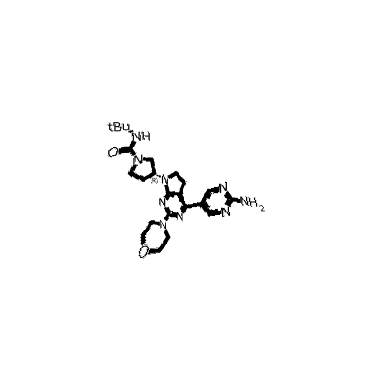 CC(C)(C)NC(=O)N1CC[C@@H](N2CCc3c(-c4cnc(N)nc4)nc(N4CCOCC4)nc32)C1